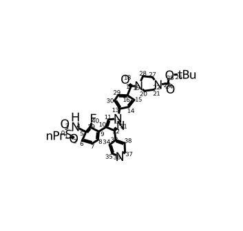 CCCS(=O)(=O)Nc1cccc(-c2cn(-c3ccc(C(=O)N4CCN(C(=O)OC(C)(C)C)CC4)cc3)nc2-c2ccncc2)c1F